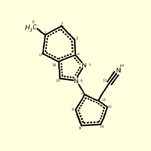 Cc1ccc2nn(-c3ccccc3C#N)cc2c1